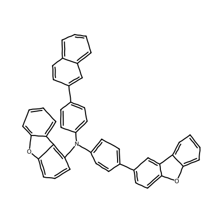 c1ccc2cc(-c3ccc(N(c4ccc(-c5ccc6oc7ccccc7c6c5)cc4)c4cccc5oc6ccccc6c45)cc3)ccc2c1